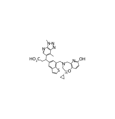 Cc1c(C(CC(=O)O)c2cc(CN3Cc4nc(O)ccc4O[C@H](C4CC4)C3)c3sccc3c2)cnc2c1nnn2C